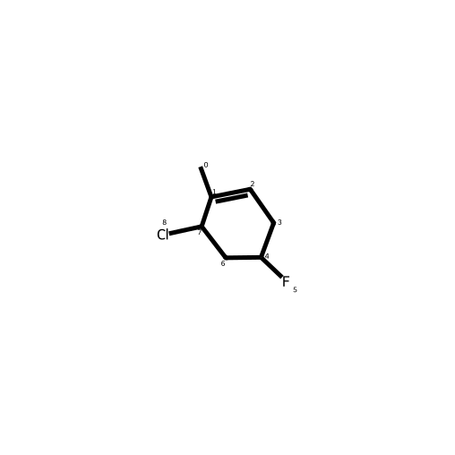 CC1=CCC(F)CC1Cl